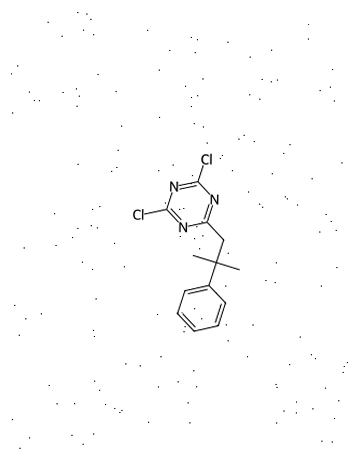 CC(C)(Cc1nc(Cl)nc(Cl)n1)c1ccccc1